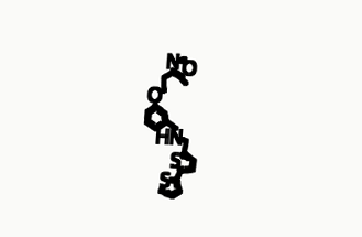 Cc1ocnc1CCOc1cccc(CNCc2ccc(-c3cccs3)s2)c1